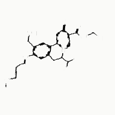 CCOC(=O)c1cn2c(cc1=O)-c1cc(CO)c(OCCCOC)cc1CC2C(C)C